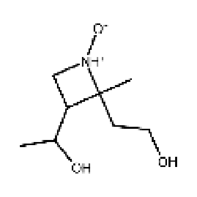 CC(O)C1C[NH+]([O-])C1(C)CCO